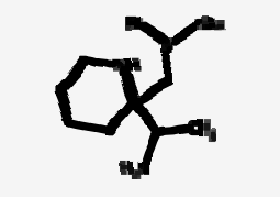 CCCCN(CC)CC1(C(C)N)CCCCN1